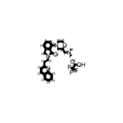 CN(C)CC1CN(c2cccc3c2C(=O)N(CCc2ccc4ccccc4n2)C3)CCO1.O=C(O)C(F)(F)F